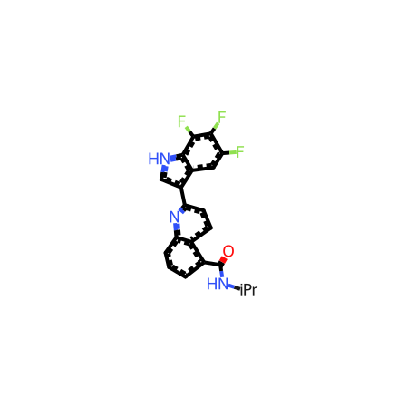 CC(C)NC(=O)c1cccc2nc(-c3c[nH]c4c(F)c(F)c(F)cc34)ccc12